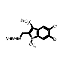 CCOC(=O)c1c(CN=[N+]=[N-])n(C)c2cc(Br)c(Cl)cc12